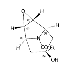 CCOC(=O)N1[C@@H]2C[C@@H](O)C[C@H]1[C@@H]1O[C@@H]12